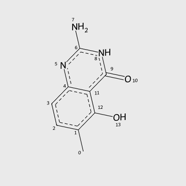 Cc1ccc2nc(N)[nH]c(=O)c2c1O